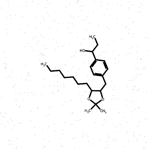 CCCCCCCC1OC(C)(C)OC1Cc1ccc(C(O)CC)cc1